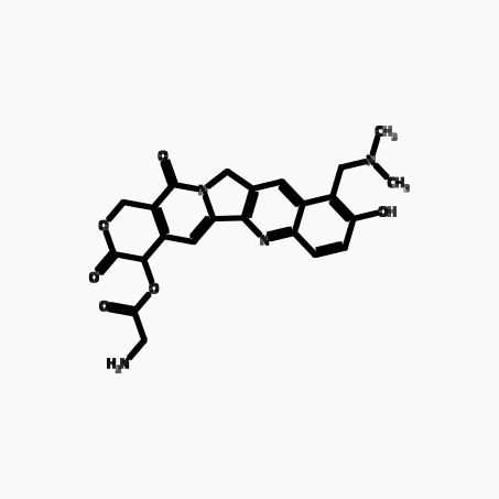 CN(C)Cc1c(O)ccc2nc3c(cc12)Cn1c-3cc2c(c1=O)COC(=O)C2OC(=O)CN